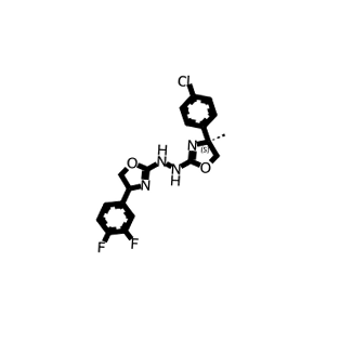 C[C@]1(c2ccc(Cl)cc2)COC(NNC2=NC(c3ccc(F)c(F)c3)CO2)=N1